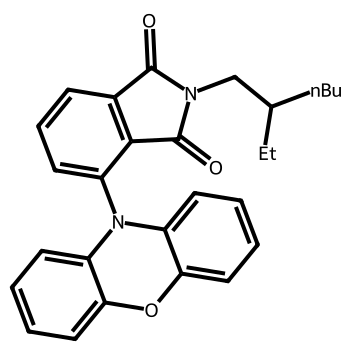 CCCCC(CC)CN1C(=O)c2cccc(N3c4ccccc4Oc4ccccc43)c2C1=O